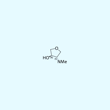 CN[C@H]1COC[C@@H]1O